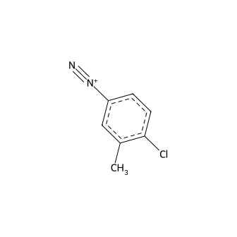 Cc1cc([N+]#N)ccc1Cl